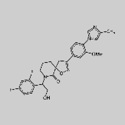 COc1cc(C2=NOC3(CCCN(C(CO)c4ccc(F)cc4F)C3=O)C2)ccc1-n1cnc(C)c1